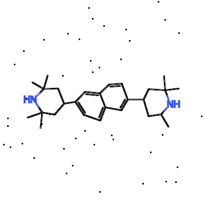 CC1CC(c2ccc3cc(C4CC(C)(C)NC(C)(C)C4)ccc3c2)CC(C)(C)N1